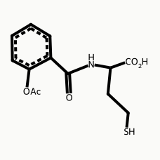 CC(=O)Oc1ccccc1C(=O)NC(CCS)C(=O)O